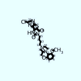 COc1cccc2c1N1CCN(CCCCn3c(=O)[nH]c4c(sc5ncc(Cl)nc54)c3=O)CC1CO2